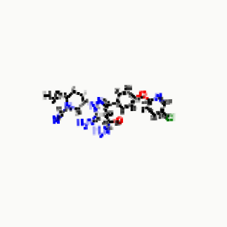 C[C@@H]1CC[C@H](n2nc(-c3ccc(Oc4ccc(Cl)cn4)cc3)c(C(N)=O)c2N)CN1C#N